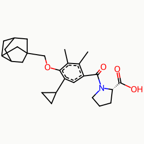 Cc1c(C(=O)N2CCC[C@H]2C(=O)O)cc(C2CC2)c(OCC23CC4CC(C2)C(C4)C3)c1C